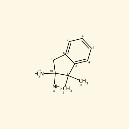 CC1(C)c2ccccc2CC1(N)N